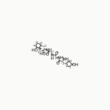 N[C@@H](Cc1ccc(O)cc1)C(=O)NCC(=O)NCC(=O)N[C@@H](Cc1ccccc1)[C@@H](O)C(=O)O